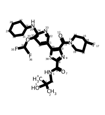 CC(C)(O)CNC(=O)c1nc(C(=O)N2CCC(F)CC2)c(-c2cnc(NC3CCCCC3)c(OC(F)F)c2)s1